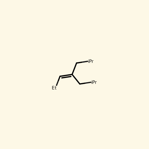 [CH2]CC=C(CC(C)C)CC(C)C